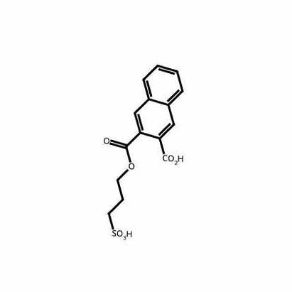 O=C(O)c1cc2ccccc2cc1C(=O)OCCCS(=O)(=O)O